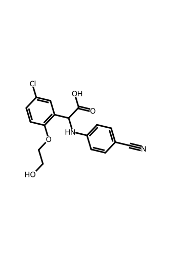 N#Cc1ccc(NC(C(=O)O)c2cc(Cl)ccc2OCCO)cc1